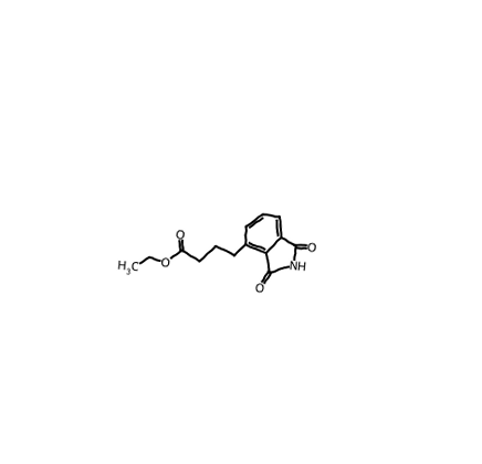 CCOC(=O)CCCc1cccc2c1C(=O)NC2=O